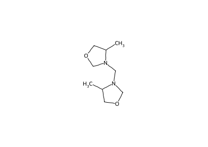 CC1COCN1CN1COCC1C